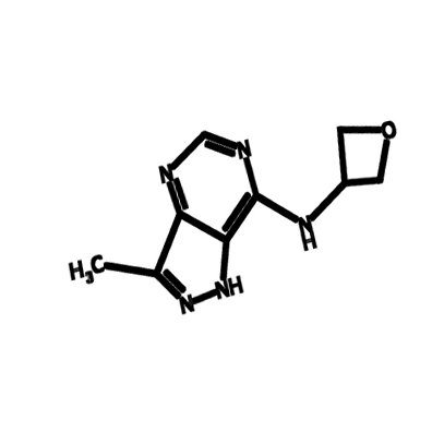 Cc1n[nH]c2c(NC3COC3)ncnc12